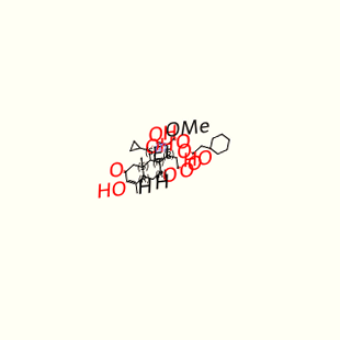 CC[C@]12C([C@@H](O)C3CC3)[C@@]3(C)CC(=O)C(O)=C(C)[C@@H]3C[C@H]1OC(=O)C(OC(=O)CC1(O)CCCCC1)[C@H]2/C(=C/O)C(=O)OC